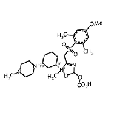 COc1cc(C)c(S(=O)(=O)CC2=NC(OC(=O)O)O[N+]2(C)[C@H]2CCC[C@@H](N3CCN(C)CC3)C2)c(C)c1